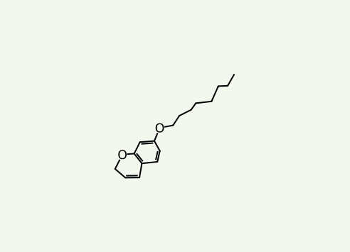 CCCCCCCCOc1ccc2c(c1)OCC=C2